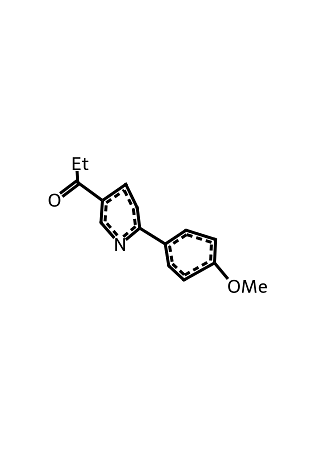 CCC(=O)c1ccc(-c2ccc(OC)cc2)nc1